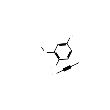 CC#CCC.CCCCCOc1cc(Br)ccc1C=O